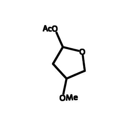 COC1COC(OC(C)=O)C1